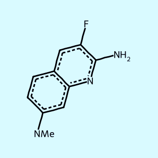 [CH2]Nc1ccc2cc(F)c(N)nc2c1